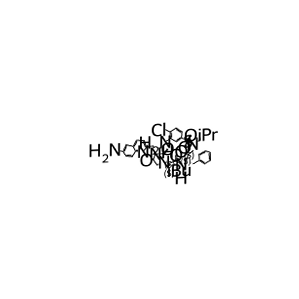 CC[C@H](C)[C@@H](C(=O)N[C@@H](Cc1ccccc1)[C@@H](O)CN(CC(C)C)S(=O)(=O)c1ccc(Cl)c(N)c1)N1CC(=O)N(Cc2ccc3cc(N)ccc3n2)C1=O